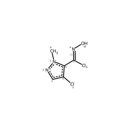 Cn1ncc(Cl)c1/C(Cl)=N/O